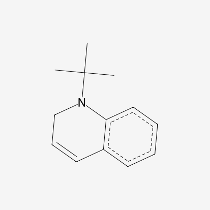 CC(C)(C)N1CC=Cc2ccccc21